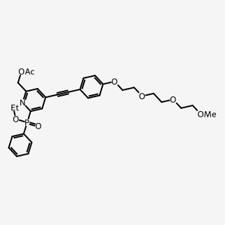 CCOP(=O)(c1ccccc1)c1cc(C#Cc2ccc(OCCOCCOCCOC)cc2)cc(COC(C)=O)n1